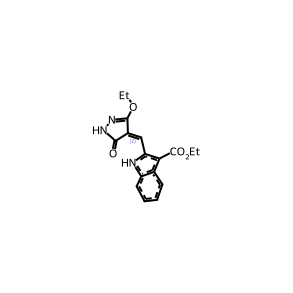 CCOC(=O)c1c(/C=C2\C(=O)NN=C2OCC)[nH]c2ccccc12